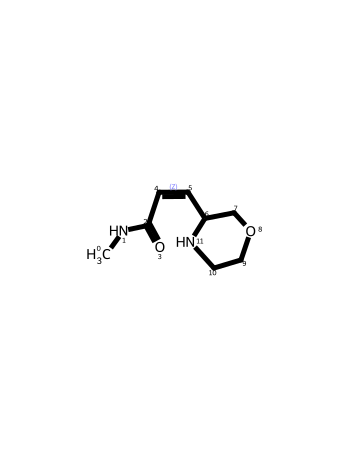 CNC(=O)/C=C\C1COCCN1